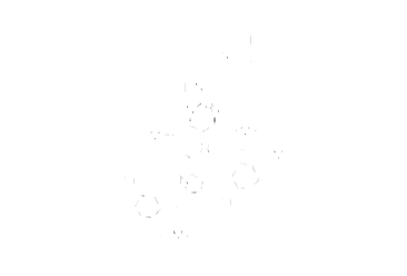 COc1ccc(C(C)(C)C)cc1O.COc1ccc(C(C)(C)C)cc1Oc1nc(C(=O)Nc2c(OC)nc(NCCN(C(=O)O)C(C)C)nc2OC)cs1